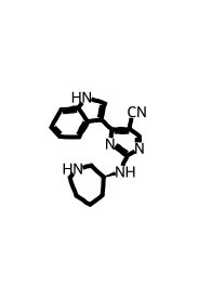 N#Cc1cnc(N[C@H]2CCCCNC2)nc1-c1c[nH]c2ccccc12